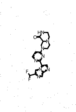 O=C1NCCN2CCN(c3ccnc(-c4cnc5cnc(C(F)F)cn45)n3)CC12